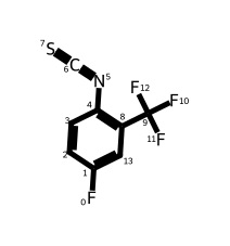 Fc1ccc(N=C=S)c(C(F)(F)F)c1